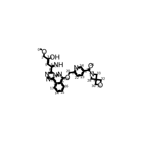 COC/C(O)=C/C(=N)c1nnc2c3ccccc3c(OCc3ccc(C(=O)N4CC5(COC5)C4)cn3)nn12